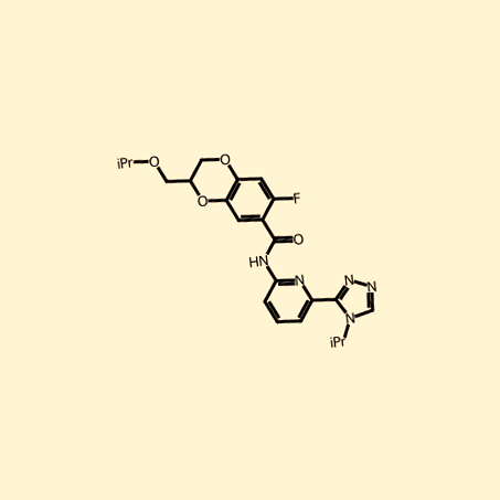 CC(C)OCC1COc2cc(F)c(C(=O)Nc3cccc(-c4nncn4C(C)C)n3)cc2O1